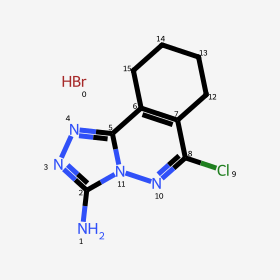 Br.Nc1nnc2c3c(c(Cl)nn12)CCCC3